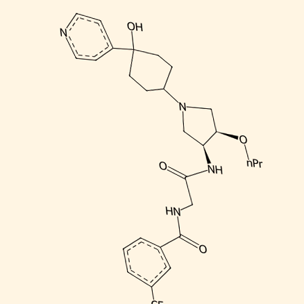 CCCO[C@@H]1CN(C2CCC(O)(c3ccncc3)CC2)C[C@@H]1NC(=O)CNC(=O)c1cccc(C(F)(F)F)c1